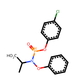 CC(C(=O)O)N(Oc1ccccc1)[PH](=O)Oc1ccc(Cl)cc1